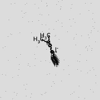 CCCCCCN(CCCCCC)c1ccc(/C=C/c2cc[n+](CCC(F)(F)C(F)(F)C(F)(F)C(F)(F)C(F)(F)C(F)(F)F)cc2)cc1.[I-]